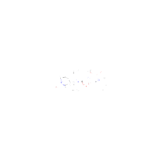 CC(C)CC(NC(=O)C1CCCCN1C(=O)OC(C)(C)C)C(=O)NC1(c2ccc[n+]([O-])c2)CC1